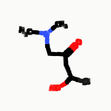 [CH2]CC(O)C(=O)CN(C)C